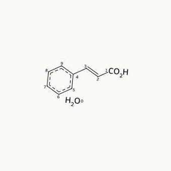 O.O=C(O)C=Cc1ccccc1